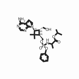 CC(C)OC(=O)C(C)NP(=O)(OC[C@@H]1[C@@H](CO)[C@H](n2ccc3c(N)ncnc32)C1(C)C)Oc1ccccc1